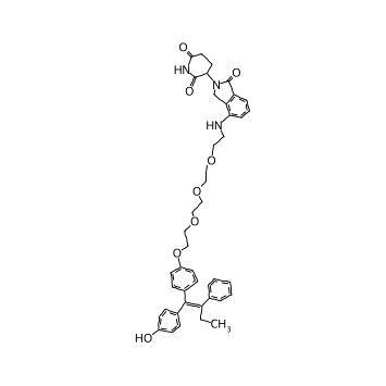 CCC(=C(c1ccc(O)cc1)c1ccc(OCCOCCOCCOCCNc2cccc3c2CN(C2CCC(=O)NC2=O)C3=O)cc1)c1ccccc1